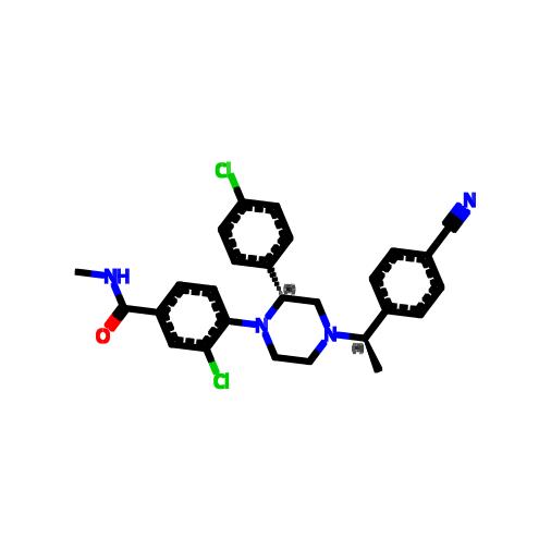 CNC(=O)c1ccc(N2CCN([C@H](C)c3ccc(C#N)cc3)C[C@H]2c2ccc(Cl)cc2)c(Cl)c1